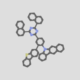 c1ccc2cc3c(cc2c1)c1ccccc1n3-c1ccc(-c2nc(-c3cccc4ccccc34)nc(-c3cccc4ccccc34)n2)cc1-c1ccc2c(c1)sc1ccccc12